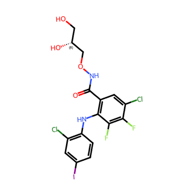 O=C(NOC[C@H](O)CO)c1cc(Cl)c(F)c(F)c1Nc1ccc(I)cc1Cl